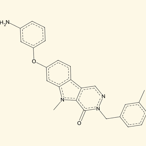 Cc1cccc(Cn2ncc3c4ccc(Oc5cccc(N)c5)cc4n(C)c3c2=O)c1